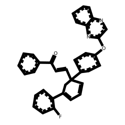 O=C(/C=C/C1(c2ccc(Oc3cnc4ccccc4n3)cc2)C=CC=C(c2ccccc2F)C1)c1ccccc1